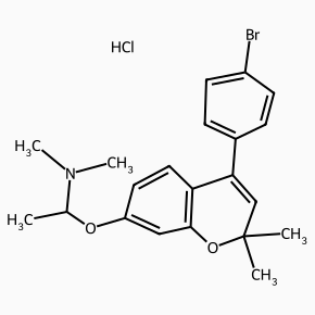 CC(Oc1ccc2c(c1)OC(C)(C)C=C2c1ccc(Br)cc1)N(C)C.Cl